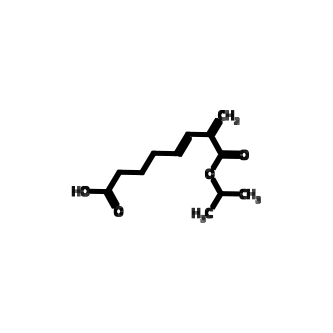 C=C(C=CCCCC(=O)O)C(=O)OC(C)C